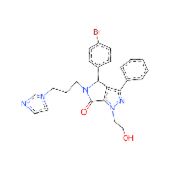 O=C1c2c(c(-c3ccccc3)nn2CCO)C(c2ccc(Br)cc2)N1CCCn1ccnc1